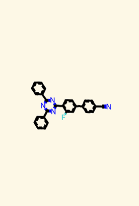 N#Cc1ccc(-c2ccc(-c3nc(-c4ccccc4)nc(-c4ccccc4)n3)c(F)c2)cc1